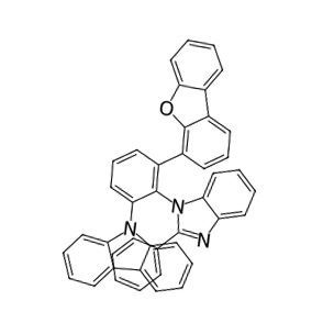 c1ccc(-c2nc3ccccc3n2-c2c(-c3cccc4c3oc3ccccc34)cccc2-n2c3ccccc3c3ccccc32)cc1